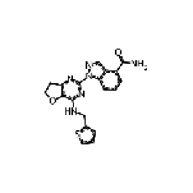 NC(=O)c1cccc2c1cnn2-c1nc2c(c(NCc3cccs3)n1)OCC2